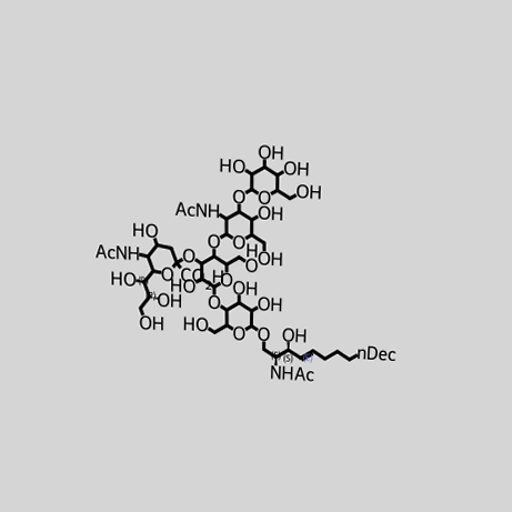 CCCCCCCCCCCCC/C=C/[C@H](O)[C@H](COC1OC(CO)C(OC2OC(CO)C(OC3OC(CO)C(O)C(OC4OC(CO)C(O)C(O)C4O)C3NC(C)=O)C(OC3(C(=O)O)CC(O)C(NC(C)=O)C([C@H](O)[C@H](O)CO)O3)C2O)C(O)C1O)NC(C)=O